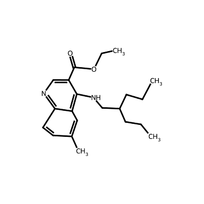 CCCC(CCC)CNc1c(C(=O)OCC)cnc2ccc(C)cc12